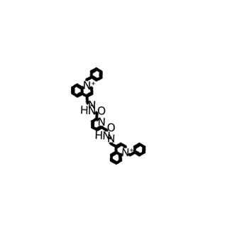 O=C(N/N=C/c1cc[n+](Cc2ccccc2)c2ccccc12)c1cccc(C(=O)N/N=C/c2cc[n+](Cc3ccccc3)c3ccccc23)n1